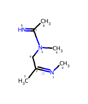 C/N=C(/C)CN(C)C(C)=N